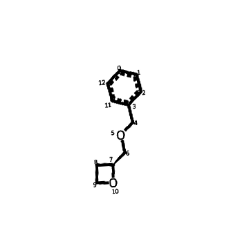 c1ccc(COC[C@@H]2CCO2)cc1